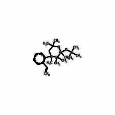 C=Cc1ccccc1[Si]1(C)CC(C)(C)O[Si](C)(O[Si](C)(C)C)[Si]1(C)C